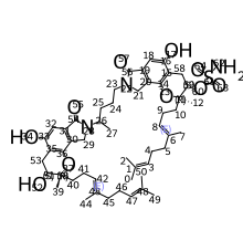 CC(C)=CCC/C(C)=C/CC[C@@]1(C)Oc2c(c(O)cc3c2CN(CCCC(C)N2Cc4c(cc(O)c5c4O[C@](C)(CC/C=C(\C)CCC=C(C)C)[C@@H](O)C5)C2=O)C3=O)C[C@@H]1OS(N)(=O)=O